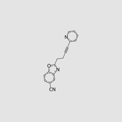 N#Cc1ccc2oc(CCC#Cc3ccccn3)nc2c1